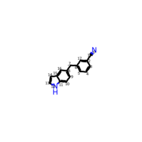 N#Cc1cccc([CH]c2ccc3[nH]ccc3c2)c1